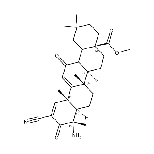 COC(=O)[C@]12CCC(C)(C)CC1C1C(=O)C=C3[C@@]4(C)C=C(C#N)C(=O)[C@@](C)(N)[C@@H]4CC[C@@]3(C)[C@]1(C)CC2